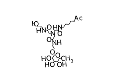 CC(=O)CCCCCNC(=O)CN(CC(=O)NCCOI)CC(=O)NCCO[C@@H]1O[C@@H](C)[C@@H](O)[C@@H](O)[C@@H]1O